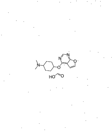 CN(C)C1CCC(Oc2ncnc3occc23)CC1.O=CO